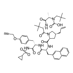 C#CCOc1ccc(C[C@H](NC(=O)[C@H](Cc2ccc3ccccc3c2)NC(=O)[C@@H]2C[C@H](CC=C)CN2C(=O)[C@@H](NC(=O)[C@H](C)N(CC(C)(C)C)C(=O)O)C(C)(C)C)C(=O)NS(=O)(=O)C2CC2)cc1